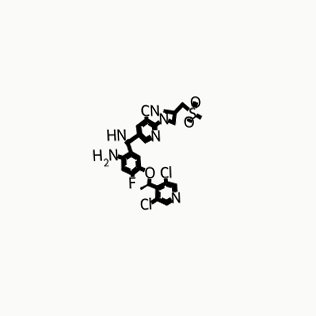 C[C@@H](Oc1cc(C(=N)c2cnc(N3CC(CS(C)(=O)=O)C3)c(C#N)c2)c(N)cc1F)c1c(Cl)cncc1Cl